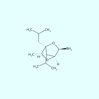 B[C@@H]1O[C@@]2(CC(C)C)[C@H](C(C)C)[C@@H]1O[C@@H]2C